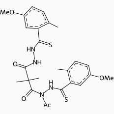 COc1ccc(C)c(C(=S)NNC(=O)C(C)(C)C(=O)N(NC(=S)c2cc(OC)ccc2C)C(C)=O)c1